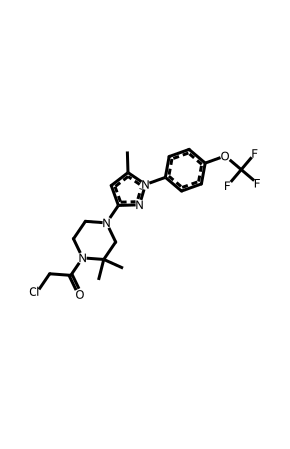 Cc1cc(N2CCN(C(=O)CCl)C(C)(C)C2)nn1-c1ccc(OC(F)(F)F)cc1